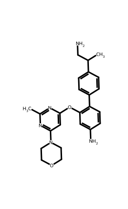 Cc1nc(Oc2cc(N)ccc2-c2ccc(C(C)CN)cc2)cc(N2CCOCC2)n1